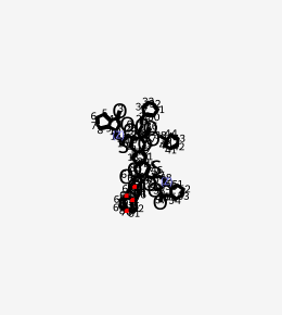 O=C1C(=O)c2ccccc2/C1=C/c1cc2c(s1)-c1cc3c(cc1OC2(C(=O)OCc1ccccc1)C(=O)OCc1ccccc1)-c1sc(/C=C2/c4ccccc4C(=O)C2O)cc1C(C(=O)OCc1ccccc1)(C(=O)OCc1ccccc1)O3